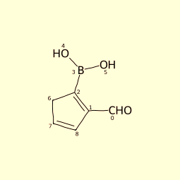 O=CC1=C(B(O)O)CC=C1